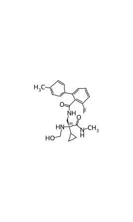 CNC(=O)[C@@](CNC(=O)c1c(F)cccc1-c1ccc(C)cc1)(NCO)C1CC1